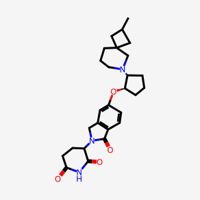 CC1CC2(CCCN([C@@H]3CCC[C@H]3Oc3ccc4c(c3)CN(C3CCC(=O)NC3=O)C4=O)C2)C1